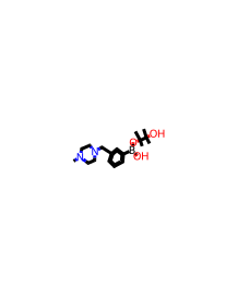 CN1CCN(Cc2cccc(B(O)OC(C)(C)C(C)(C)O)c2)CC1